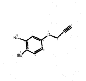 C#CCOc1ccc(C(C)(C)C)c(C#N)c1